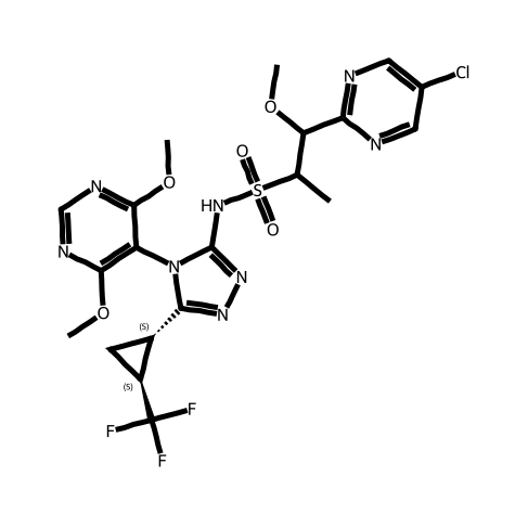 COc1ncnc(OC)c1-n1c(NS(=O)(=O)C(C)C(OC)c2ncc(Cl)cn2)nnc1[C@H]1C[C@@H]1C(F)(F)F